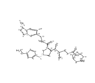 COc1ccc(C[C@@H]2C[C@@H](C(=O)NCc3ccc4c(c3)nnn4C)N(C(=O)[C@H](N)CCC(=O)N3C4CCC3CNC4)C2)cc1